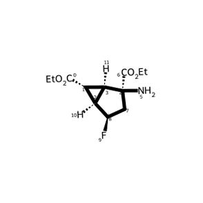 CCOC(=O)[C@H]1[C@H]2[C@@H]1[C@](N)(C(=O)OCC)C[C@H]2F